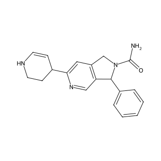 NC(=O)N1Cc2cc(C3C=CNCC3)ncc2C1c1ccccc1